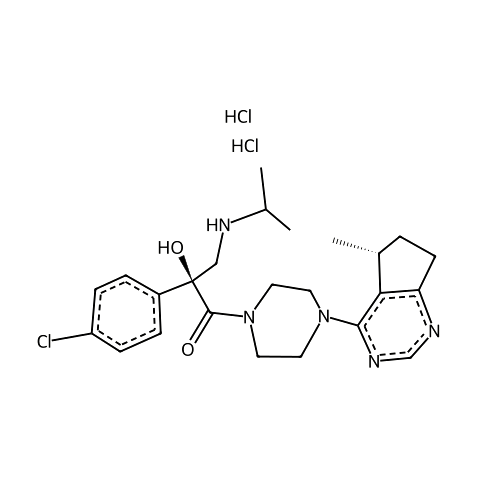 CC(C)NC[C@](O)(C(=O)N1CCN(c2ncnc3c2[C@H](C)CC3)CC1)c1ccc(Cl)cc1.Cl.Cl